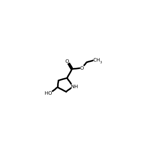 CCOC(=O)C1CC(O)CN1